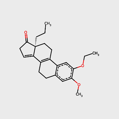 CCC[C@]12CCC3=C(CCc4cc(OC)c(OCC)cc43)C1=CCC2=O